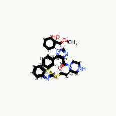 COC[C@]1(O)CCCC[C@H]1n1cnc(C(=O)N2CCNC[C@H]2CCSc2nc3ccccc3s2)c1-c1ccccc1